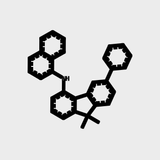 CC1(C)c2ccc(-c3ccccc3)cc2-c2c(Nc3cccc4ccccc34)cccc21